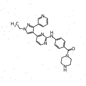 CCn1cc(-c2ccnc(Nc3ccc(C(=O)N4CCNCC4)cc3)n2)c(-c2cccnc2)n1